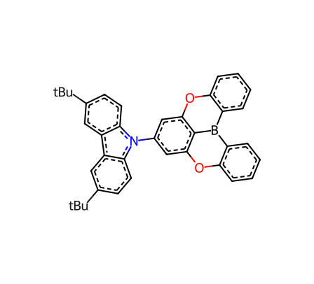 CC(C)(C)c1ccc2c(c1)c1cc(C(C)(C)C)ccc1n2-c1cc2c3c(c1)Oc1ccccc1B3c1ccccc1O2